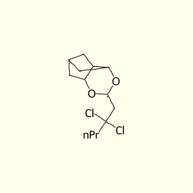 [CH2]CCC(Cl)(Cl)C[C]1OC2CC3CC(O1)C2C3